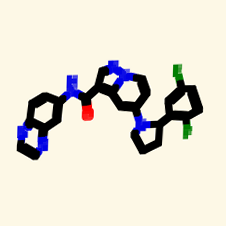 O=C(Nc1ccc2nccnc2c1)c1cnn2ccc(N3CCCC3c3cc(F)ccc3F)cc12